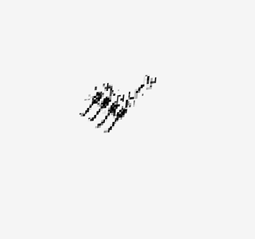 CC#N.CC#N.CC#N.CC#N.[Cl][Ru]